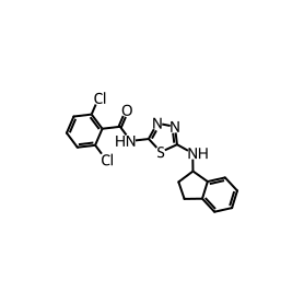 O=C(Nc1nnc(NC2CCc3ccccc32)s1)c1c(Cl)cccc1Cl